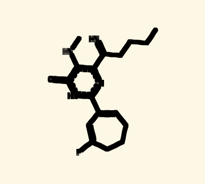 CCCCC(=N)c1nc(C2=CCCCC(F)=C2)[nH]c(=O)c1NC